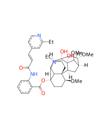 CCc1cc(/C=C/C(=O)Nc2ccccc2C(=O)O[C@@]23CC[C@H](OC)[C@]45CC([C@@H](C[C@H]24)[C@@]2(O)C[C@H](OC)[C@H]4C[C@@H]5[C@]2(O)[C@H]4OC)N(CC)C3)ccn1